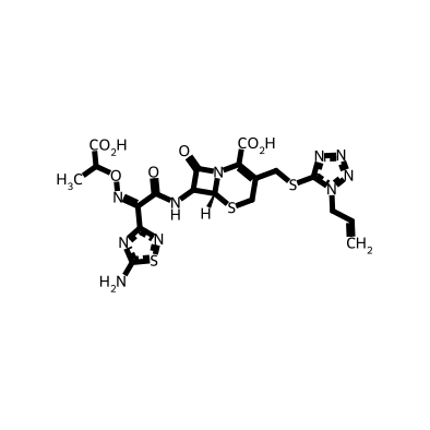 C=CCn1nnnc1SCC1=C(C(=O)O)N2C(=O)C(NC(=O)/C(=N\OC(C)C(=O)O)c3nsc(N)n3)[C@H]2SC1